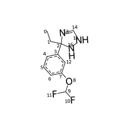 CCC1(c2cccc(OC(F)F)c2)N=CNN1